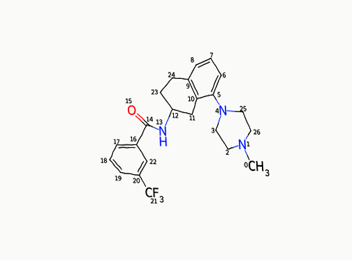 CN1CCN(c2cccc3c2CC(NC(=O)c2cccc(C(F)(F)F)c2)CC3)CC1